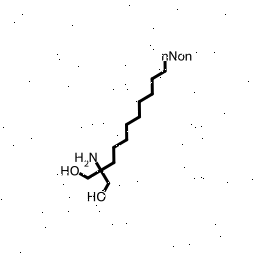 CCCCCCCCCCCCCCCCCCC(N)(CO)CO